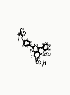 CCNC(=O)Nc1ccc(-c2nc3c(c(-c4ccncc4)n2)C(C(C)(C)C)CN(C(=O)O)C3)cc1